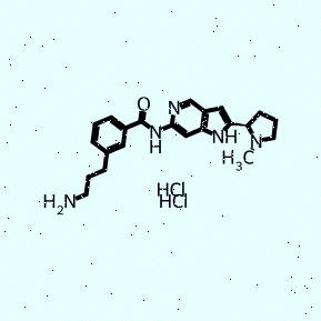 CN1CCC[C@@H]1c1cc2cnc(NC(=O)c3cccc(CCCN)c3)cc2[nH]1.Cl.Cl